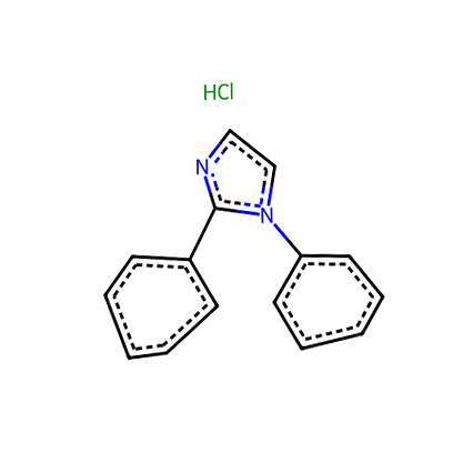 Cl.c1ccc(-c2nccn2-c2ccccc2)cc1